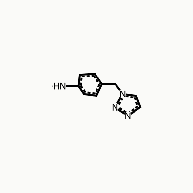 [NH]c1ccc(Cn2ccnn2)cc1